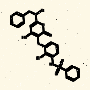 CCC(Cc1ccccc1)c1cc(O)c(Sc2cccc(NS(=O)(=O)c3ccccc3)c2C(C)C)c(=O)o1